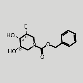 O=C(OCc1ccccc1)N1C[C@@H](F)[C@@H](O)[C@@H](O)C1